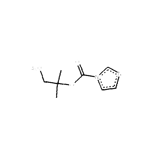 CC(=O)OCC(C)(C)OC(=O)n1ccnc1